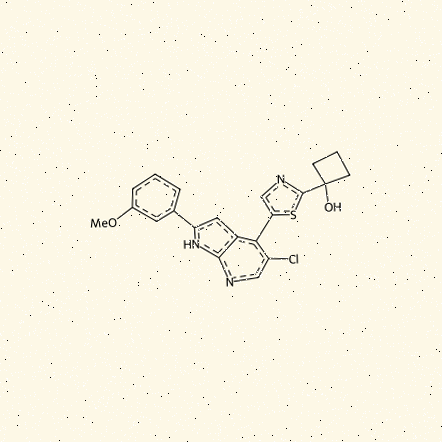 COc1cccc(-c2cc3c(-c4cnc(C5(O)CCC5)s4)c(Cl)cnc3[nH]2)c1